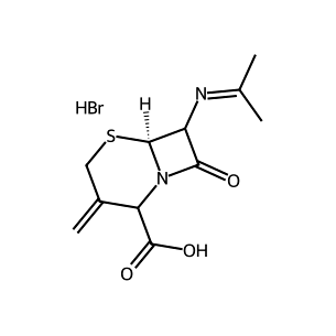 Br.C=C1CS[C@H]2C(N=C(C)C)C(=O)N2C1C(=O)O